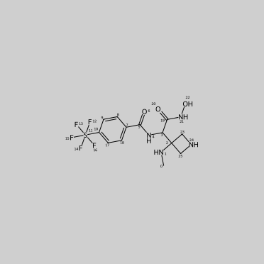 CNC1(C(NC(=O)c2ccc(S(F)(F)(F)(F)F)cc2)C(=O)NO)CNC1